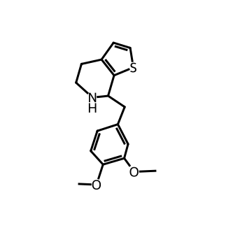 COc1ccc(CC2NCCc3ccsc32)cc1OC